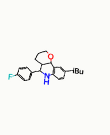 CCC(C)c1ccc2c(c1)C1OCCCC1C(c1ccc(F)cc1)N2